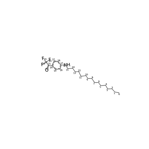 CCCCCCCCCCCCCCCCNc1ccc(C(=O)C(F)(F)F)cc1